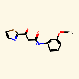 COc1cccc(NC(=O)CC(=O)c2nccs2)c1